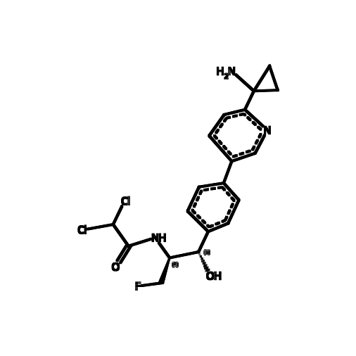 NC1(c2ccc(-c3ccc([C@H](O)[C@@H](CF)NC(=O)C(Cl)Cl)cc3)cn2)CC1